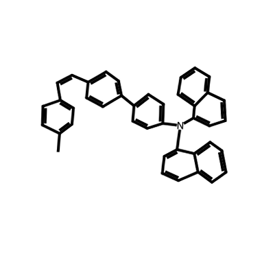 Cc1ccc(/C=C\c2ccc(-c3ccc(N(c4cccc5ccccc45)c4cccc5ccccc45)cc3)cc2)cc1